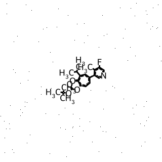 Cc1c(F)cncc1-c1ccc(OC(=O)OC(C)(C)C)c(=O)c(C(C)C)c1